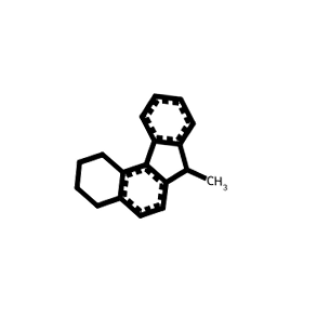 CC1c2ccccc2-c2c1ccc1c2CCCC1